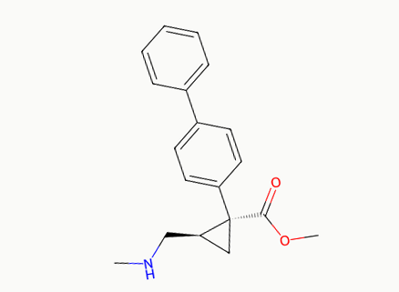 CNC[C@@H]1C[C@]1(C(=O)OC)c1ccc(-c2ccccc2)cc1